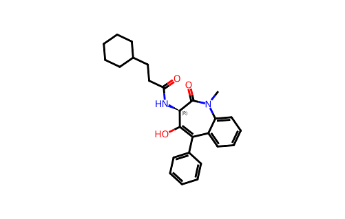 CN1C(=O)[C@H](NC(=O)CCC2CCCCC2)C(O)=C(c2ccccc2)c2ccccc21